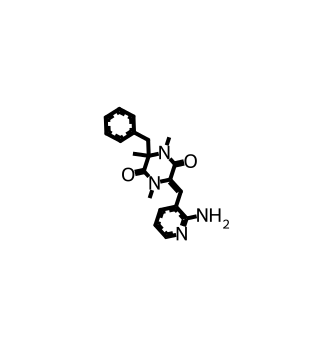 CN1C(=O)C(C)(Cc2ccccc2)N(C)C(=O)C1=Cc1cccnc1N